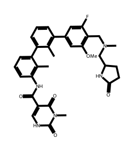 COc1cc(-c2cccc(-c3cccc(NC(=O)c4c[nH]c(=O)n(C)c4=O)c3C)c2C)cc(F)c1CN(C)CC1CCC(=O)N1